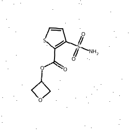 NS(=O)(=O)c1ccsc1C(=O)OC1COC1